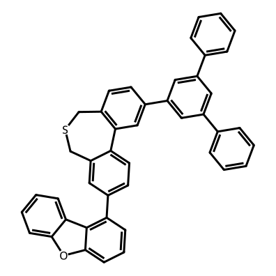 c1ccc(-c2cc(-c3ccccc3)cc(-c3ccc4c(c3)-c3ccc(-c5cccc6oc7ccccc7c56)cc3CSC4)c2)cc1